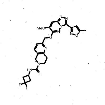 COc1cc2nnc(-c3cc(C)on3)n2nc1OCc1ccc2c(n1)CCN(C(=O)NC1CC(F)(F)C1)C2